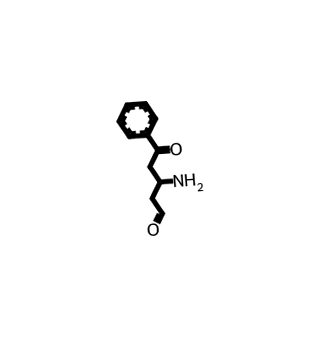 NC(CC=O)CC(=O)c1ccccc1